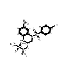 CN(C[C@H]1CN(S(=O)(=O)c2ccc(F)cc2)c2cc(N)ccc2O1)S(C)(=O)=O